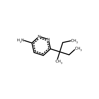 CCC(C)(CC)c1ccc(N)nn1